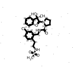 C[C@](O)(C(=O)N1CCC[C@H]1C(=O)NCc1cc(Cl)ccc1CCNS(C)(=O)=O)c1ccccc1